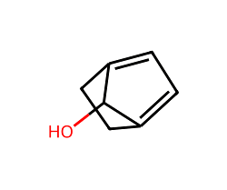 OC1C2=CC=C1CC2